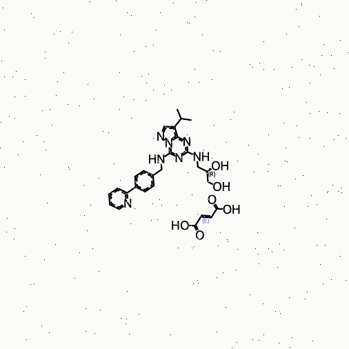 CC(C)c1cnn2c(NCc3ccc(-c4ccccn4)cc3)nc(NC[C@@H](O)CO)nc12.O=C(O)/C=C/C(=O)O